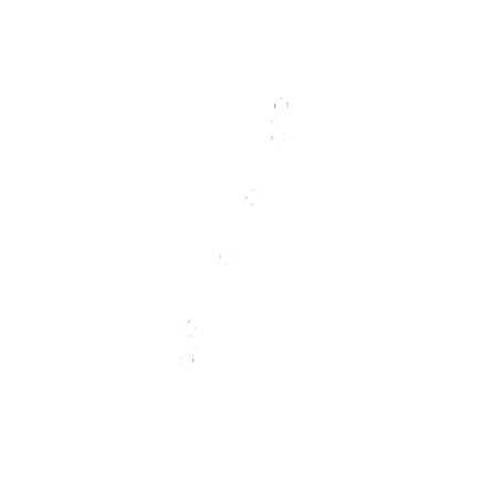 O=C1CCC(CCCOCCCOCCC2CCC(=O)O2)O1